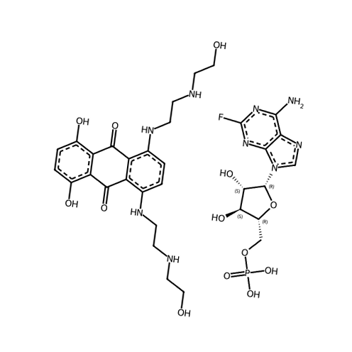 Nc1nc(F)nc2c1ncn2[C@@H]1O[C@H](COP(=O)(O)O)[C@@H](O)[C@@H]1O.O=C1c2c(O)ccc(O)c2C(=O)c2c(NCCNCCO)ccc(NCCNCCO)c21